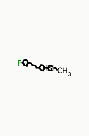 CCC[SiH]1CCC(C2CCC(CCCCc3ccc(F)cc3)CC2)CC1